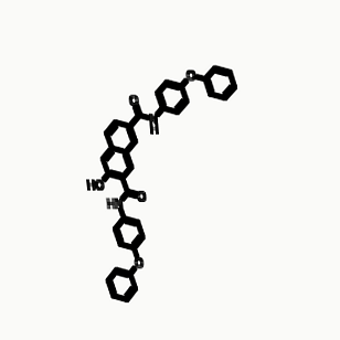 O=C(Nc1ccc(Oc2ccccc2)cc1)c1ccc2cc(O)c(C(=O)Nc3ccc(Oc4ccccc4)cc3)cc2c1